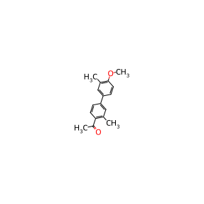 COc1ccc(-c2ccc(C(C)=O)c(C)c2)cc1C